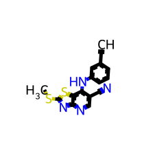 C#Cc1cccc(Nc2c(C#N)cnc3nc(SC)sc23)c1